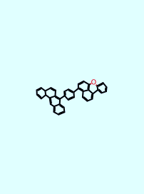 C1=CC2C=Cc3c(cc4ccccc4c3-c3ccc(-c4ccc5c6c(cccc46)-c4ccccc4O5)cc3)C2C=C1